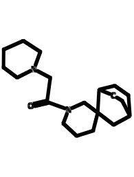 O=C(CN1CCCCC1)N1CCCC2(CC3CCC2CC3)C1